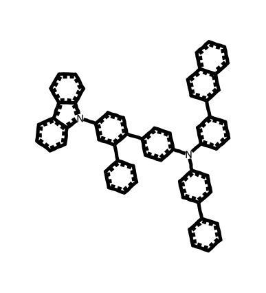 c1ccc(-c2ccc(N(c3ccc(-c4ccc(-n5c6ccccc6c6ccccc65)cc4-c4ccccc4)cc3)c3cccc(-c4ccc5ccccc5c4)c3)cc2)cc1